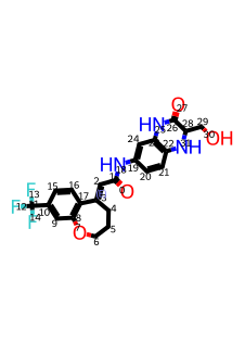 O=C(/C=C1\CCCOc2cc(C(F)(F)F)ccc21)Nc1ccc2c(c1)NC(=O)C(CO)N2